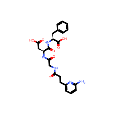 Nc1cccc(CCC(=O)NCC(=O)N[C@@H](CC(=O)O)C(=O)N[C@@H](Cc2ccccc2)C(=O)O)n1